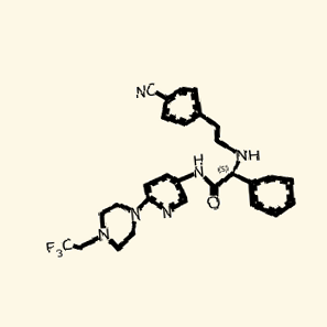 N#Cc1ccc(CCN[C@H](C(=O)Nc2ccc(N3CCN(CC(F)(F)F)CC3)nc2)c2ccccc2)cc1